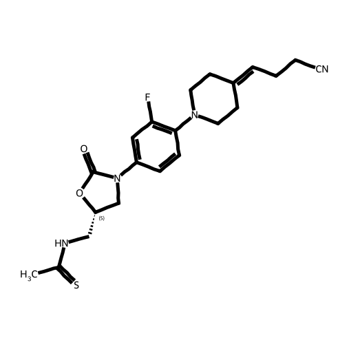 CC(=S)NC[C@H]1CN(c2ccc(N3CCC(=CCCC#N)CC3)c(F)c2)C(=O)O1